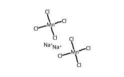 [Cl][Mn-]([Cl])([Cl])[Cl].[Cl][Mn-]([Cl])([Cl])[Cl].[Na+].[Na+]